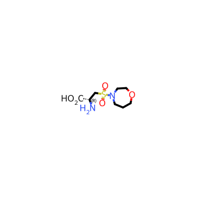 N[C@@H](CS(=O)(=O)N1CCCOCC1)C(=O)O